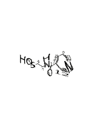 O=C(NCCSO)c1cccnc1